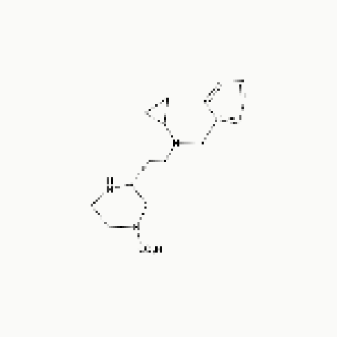 O=C(O)N1CCN[C@H](CCN(Cc2ccccc2)C2CC2)C1